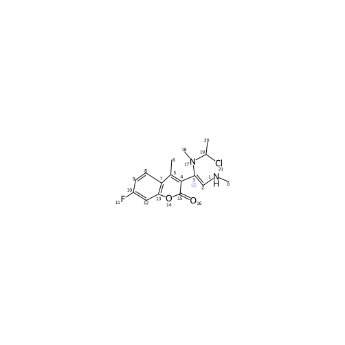 CN/C=C(/c1c(C)c2ccc(F)cc2oc1=O)N(C)C(C)Cl